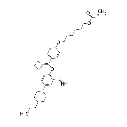 C=CC(=O)OCCCCCCOc1ccc(C(Oc2ccc(C3CCC(CCC)CC3)cc2C=N)=C2CCC2)cc1